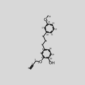 C#CCOc1cc(CCCc2cccc(OC)c2)ccc1O